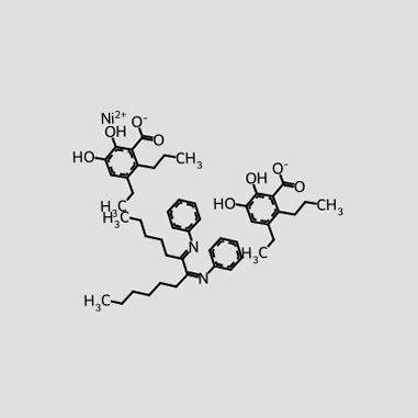 CCCCCCC(=Nc1ccccc1)C(CCCCC)=Nc1ccccc1.CCCc1c(CC)cc(O)c(O)c1C(=O)[O-].CCCc1c(CC)cc(O)c(O)c1C(=O)[O-].[Ni+2]